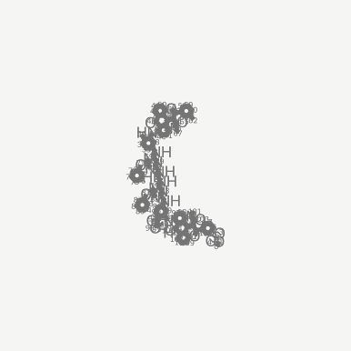 COS(=O)(=O)c1cccc(C(=O)c2c3c4c(c(Nc5cc(Nc6nc(NBNc7nc(Nc8ccc(C)c(Nc9ccc%10c%11c9C(=O)c9ccccc9-c%11c(C(=O)c9cccc(C)c9)c(=O)n%10C)c8)nc(Oc8ccccc8)n7)nc(Oc7ccccc7)n6)ccc5S(=O)(=O)OC)ccc4n(C)c2=O)C(=O)c2ccccc2-3)c1